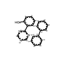 Oc1ccccc1-c1ncncn1.c1ccc(-c2ccccc2)cc1